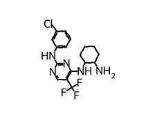 NC1CCCCC1Nc1nc(Nc2cccc(Cl)c2)ncc1C(F)(F)F